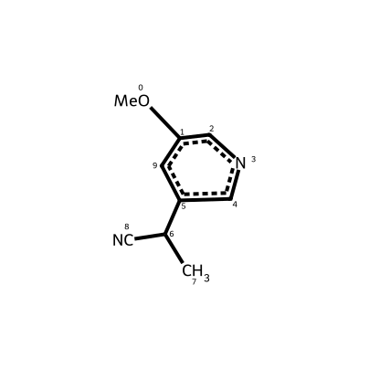 COc1cncc(C(C)C#N)c1